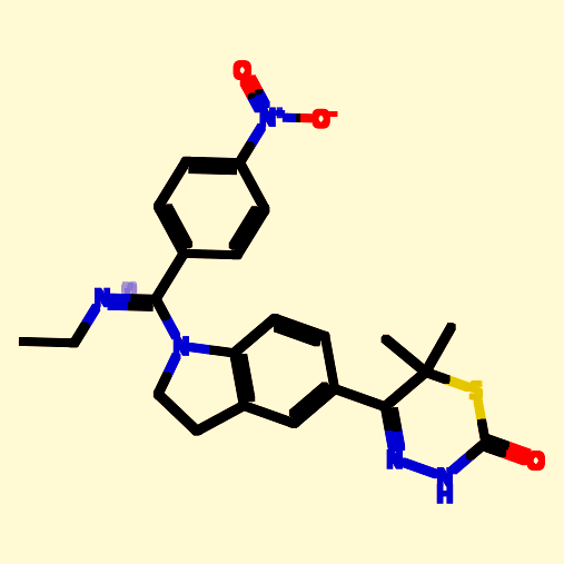 CC/N=C(/c1ccc([N+](=O)[O-])cc1)N1CCc2cc(C3=NNC(=O)SC3(C)C)ccc21